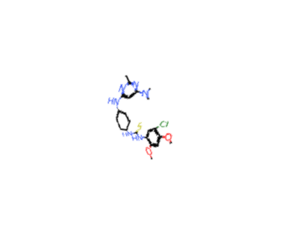 COc1cc(OC)c(NC(=S)N[C@H]2CC[C@@H](Nc3cc(N(C)C)nc(C)n3)CC2)cc1Cl